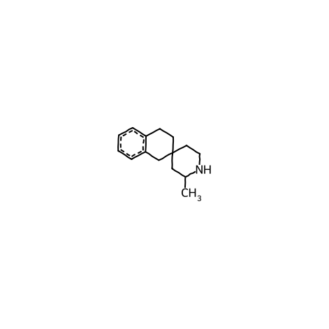 CC1CC2(CCN1)CCc1ccccc1C2